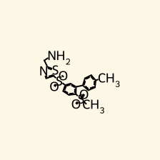 Cc1ccc(-c2cc(S(=O)(=O)c3cnc(CN)s3)ccc2S(C)(=O)=O)cc1